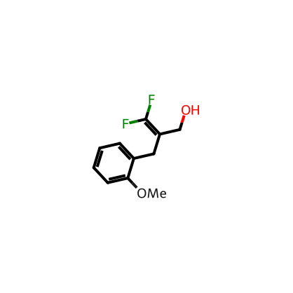 COc1ccccc1CC(CO)=C(F)F